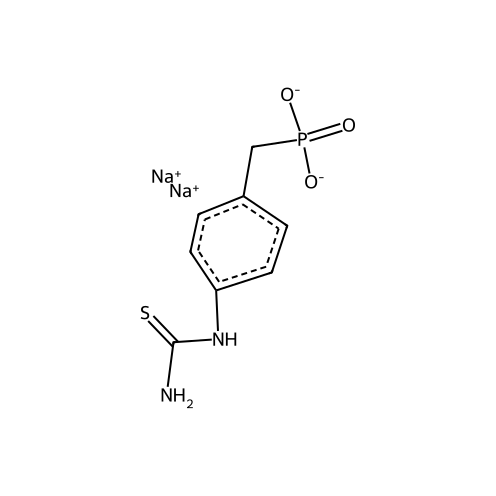 NC(=S)Nc1ccc(CP(=O)([O-])[O-])cc1.[Na+].[Na+]